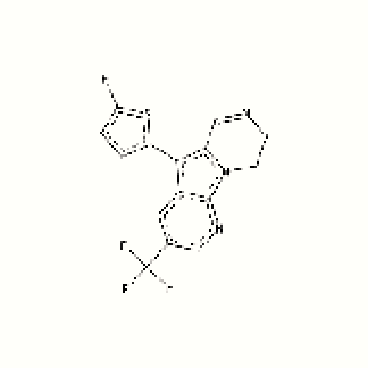 Fc1ccc(-c2c3n(c4ncc(C(F)(F)F)cc24)CCN=C3)s1